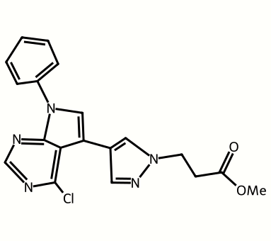 COC(=O)CCn1cc(-c2cn(-c3ccccc3)c3ncnc(Cl)c23)cn1